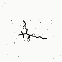 CCCCOC(=O)C(COCC)C(C)(C)C